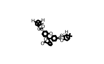 CC1(C)C2CC3OB(c4ccc5c(c4)Oc4cc(B6OC7C[C@@H]8C[C@@H](C8(C)C)[C@]7(C)O6)ccc4C54OC(=O)c5ccccc54)O[C@@]3(C)[C@H]1C2